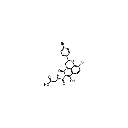 O=C(O)CNC(=O)c1c(O)c2ccc(Br)c3c2n(c1=O)CC(c1ccc(Br)cc1)O3